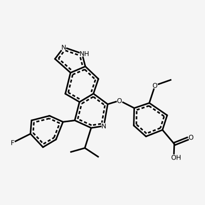 COc1cc(C(=O)O)ccc1Oc1nc(C(C)C)c(-c2ccc(F)cc2)c2cc3cn[nH]c3cc12